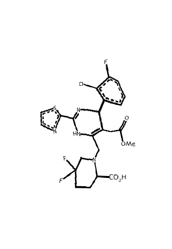 COC(=O)C1=C(CN2CC(F)(F)CCC2C(=O)O)NC(c2nccs2)=NC1c1cccc(F)c1Cl